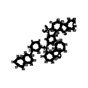 CS1(C)c2cc(N(c3cccc(-c4ccc5ccccc5c4)c3)c3cccc4oc5ccccc5c34)ccc2-c2c1ccc1c2sc2ccccc21